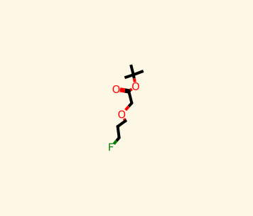 CC(C)(C)OC(=O)COCCCF